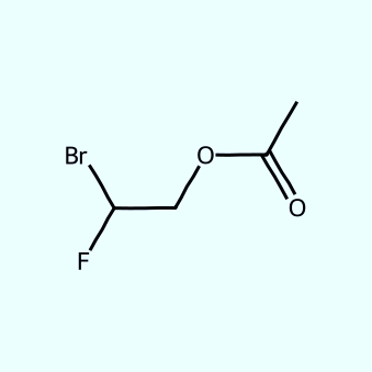 CC(=O)OCC(F)Br